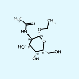 CCO[C@@H]1O[C@H](CO)[C@H](O)[C@H](O)[C@H]1NC(C)=O